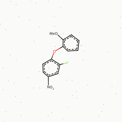 COc1ccccc1Oc1ccc([N+](=O)[O-])cc1F